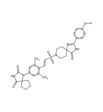 Cc1cc(N2C(=O)NC(=O)C23CCCC3)cc(C)c1/C=C/S(=O)(=O)N1CCC2(CC1)N=C(c1ccc(OF)cc1)NC2=O